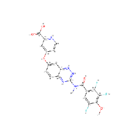 COc1c(F)cc(C(=O)N(C)c2nnc3cc(Oc4ccnc(C(=O)O)c4)ccc3n2)c(F)c1F